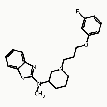 CN(c1nc2ccccc2s1)C1CCCN(CCCOc2cccc(F)c2)C1